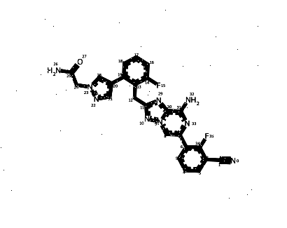 N#Cc1cccc(-c2cn3nc(Cc4c(F)cccc4-c4cnn(CC(N)=O)c4)nc3c(N)n2)c1F